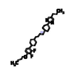 C=CCCOc1ccc(C2CCC(CC/C=C/C3CCC(c4ncc(CCC)cn4)CC3)CC2)c(F)c1F